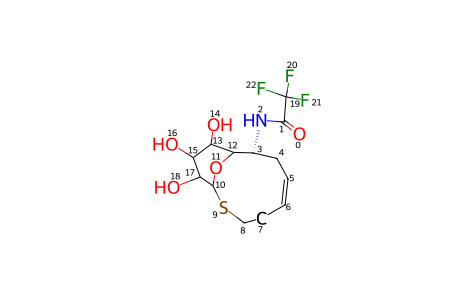 O=C(N[C@@H]1C/C=C\CCSC2OC1C(O)C(O)C2O)C(F)(F)F